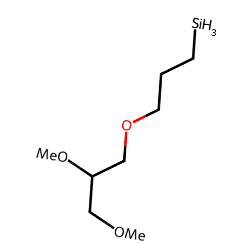 COCC(COCCC[SiH3])OC